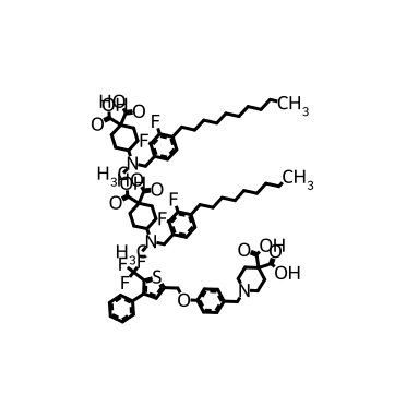 CCCCCCCCCCc1ccc(CN(C)C2CCC(C(=O)O)(C(=O)O)CC2)c(F)c1F.CCCCCCCCCc1ccc(CN(C)C2CCC(C(=O)O)(C(=O)O)CC2)c(F)c1F.O=C(O)C1(C(=O)O)CCN(Cc2ccc(OCc3cc(-c4ccccc4)c(C(F)(F)F)s3)cc2)CC1